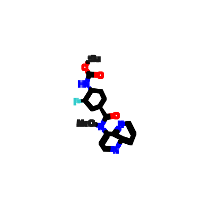 CON(C(=O)[C@@H]1CC[C@@H](NC(=O)OC(C)(C)C)[C@H](F)C1)c1ccnc2cccnc12